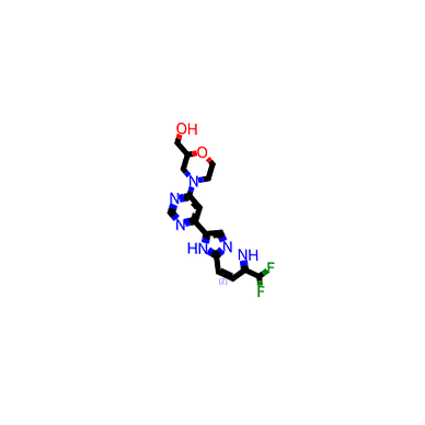 N=C(/C=C\c1ncc(-c2cc(N3CCOC(CO)C3)ncn2)[nH]1)C(F)F